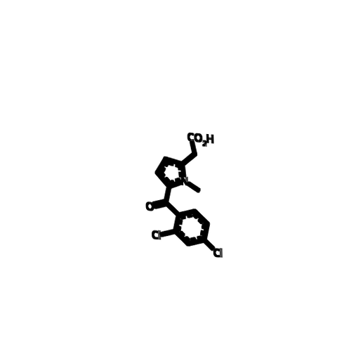 Cn1c(CC(=O)O)ccc1C(=O)c1ccc(Cl)cc1Cl